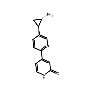 N[C@H]1C[C@@H]1c1ccc(-c2cc[nH]c(=O)c2)nc1